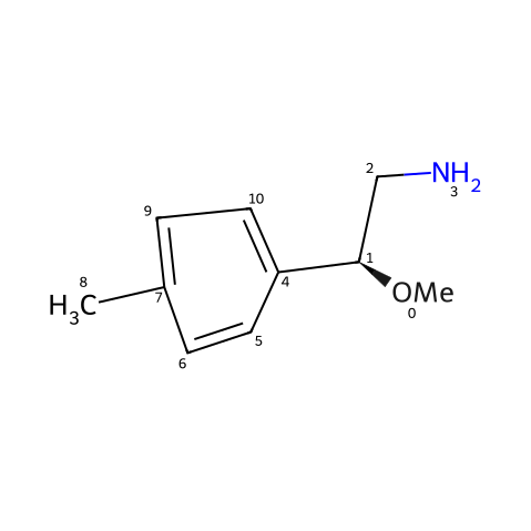 CO[C@H](CN)c1ccc(C)cc1